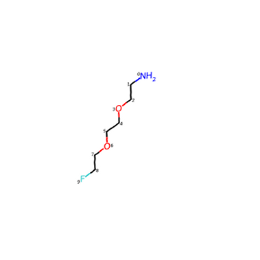 NCCOCCOCCF